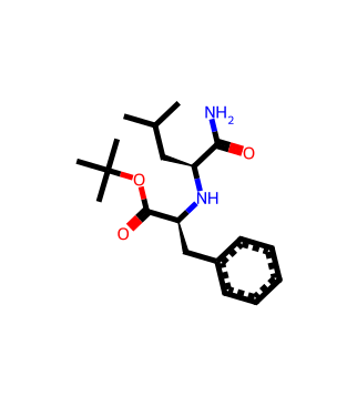 CC(C)C[C@H](N[C@@H](Cc1ccccc1)C(=O)OC(C)(C)C)C(N)=O